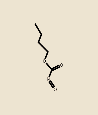 CCCCOC(=O)N=O